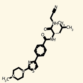 CC(C)C[C@H](NC(=O)c1ccc(-c2csc(N3CCN(C)CC3)n2)cc1)C(=O)NCC#N